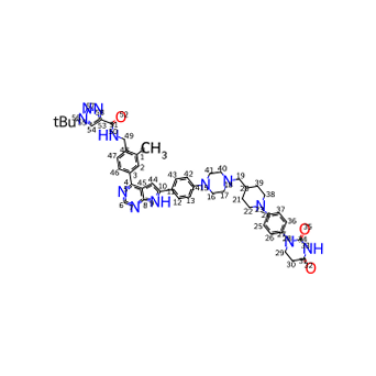 Cc1cc(-c2ncnc3[nH]c(-c4ccc(N5CCN(CC6CCN(c7ccc(N8CCC(=O)NC8=O)cc7)CC6)CC5)cc4)cc23)ccc1CNC(=O)c1cn(C(C)(C)C)nn1